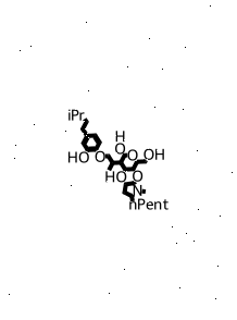 CCCCCC1CCC(O[C@@H]2C(CO)O[C@@H](O)C(C(C)COc3ccc(CCC(C)C)cc3O)C2O)N1C